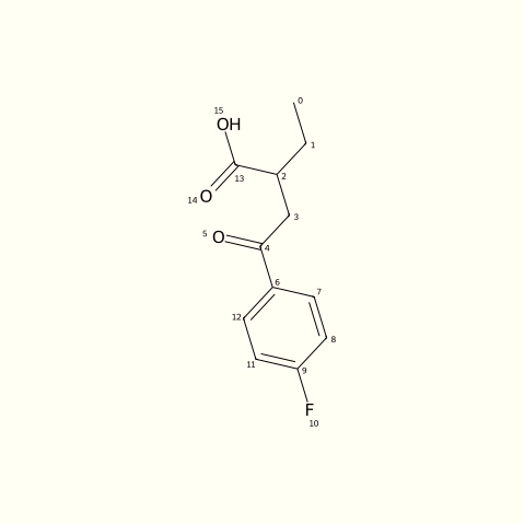 CCC(CC(=O)c1ccc(F)cc1)C(=O)O